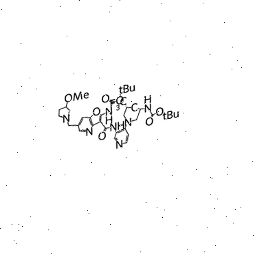 COC1CCN(Cc2cnc3c(C(=O)Nc4cnccc4N4CC(NC(=O)OC(C)(C)C)C[C@@H](C(F)(F)F)C4)c(NC(=O)OC(C)(C)C)oc3c2)C1